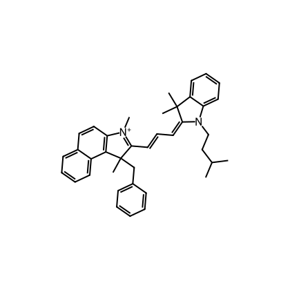 CC(C)CCN1/C(=C/C=C/C2=[N+](C)c3ccc4ccccc4c3C2(C)Cc2ccccc2)C(C)(C)c2ccccc21